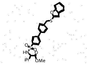 COC(=O)C(NS(=O)(=O)c1ccc(-c2ccc(CSc3cc4ccccc4o3)cc2)cc1)C(C)C